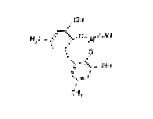 CCCCCCC[CH2][Al]1[O]c2c(cc(C)cc2C(C)(C)C)Cc2cc(C)cc(C(C)(C)C)c2[O]1